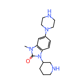 Cn1c(=O)n(C2CCCNC2)c2ccc(N3CCNCC3)cc21